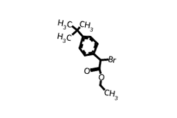 CCOC(=O)C(Br)c1ccc(C(C)(C)C)cc1